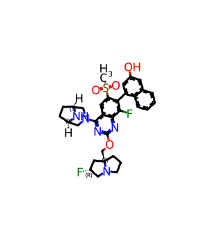 CS(=O)(=O)c1cc2c(N3C[C@H]4CC[C@@H](C3)N4)nc(OC[C@@]34CCCN3C[C@H](F)C4)nc2c(F)c1-c1cc(O)cc2ccccc12